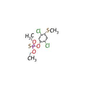 CCOP(=S)(OCC)Oc1cc(Cl)c(SC)cc1Cl